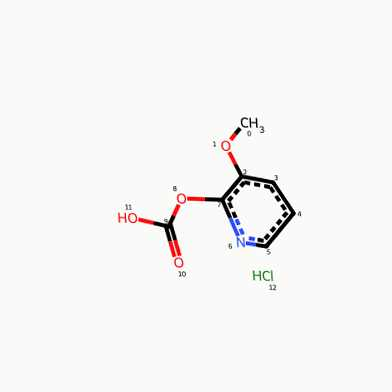 COc1cccnc1OC(=O)O.Cl